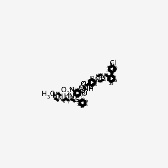 CN1CCN(CCC[C@H](CSc2ccccc2)Nc2ccc(S(=O)(=O)NC(=O)c3ccc(N4CCN(Cc5ccccc5-c5ccc(Cl)cc5)CC4)cc3)cc2[N+](=O)[O-])CC1